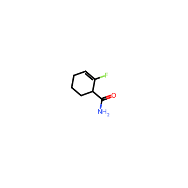 NC(=O)C1CCCC=C1F